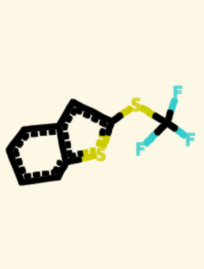 FC(F)(F)Sc1cc2ccccc2s1